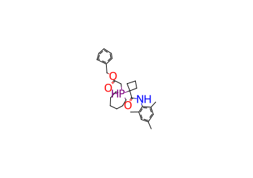 Cc1cc(C)c(NC(=O)C2([PH]3(CC(=O)OCc4ccccc4)CCCCCC3)CCC2)c(C)c1